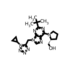 CC(C)(C)c1nc(N2CCC[C@@H]2CO)c2ncn(Cc3nnnn3C3CC3)c2n1